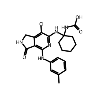 Cc1cccc(Nc2nc(NC3(NC(=O)O)CCCCC3)c(Cl)c3c2C(=O)NC3)c1